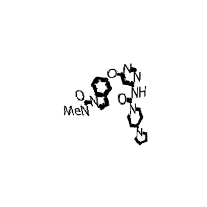 CNC(=O)n1ccc2cc(Oc3cc(NC(=O)N4CCC(N5CCCC5)CC4)ncn3)ccc21